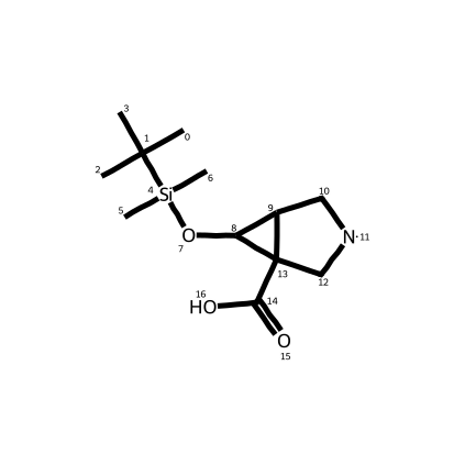 CC(C)(C)[Si](C)(C)OC1C2C[N]CC21C(=O)O